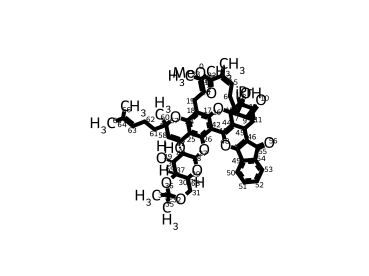 COC(=O)/C(C)=C\CC1(O)C(=O)C2CC(C(C)C)C13Oc1c(CC=C(C)C)c4c(c(O[C@H]5O[C@H]6COC(C)(C)O[C@@H]6[C@@H](O)[C@@H]5O)c1C1=C3C2C2=C(O1)c1ccccc1C2=O)C=CC(C)(CCC=C(C)C)O4